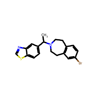 CC(c1ccc2scnc2c1)N1CCc2ccc(Br)cc2CC1